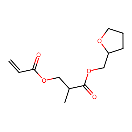 C=CC(=O)OCC(C)C(=O)OCC1CCCO1